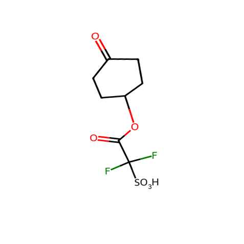 O=C1CCC(OC(=O)C(F)(F)S(=O)(=O)O)CC1